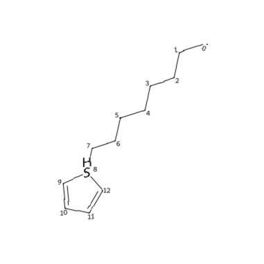 [CH2]CCCCCCC[SH]1C=CC=C1